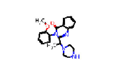 COc1ccccc1-n1c(C(C)N2CCNCC2)nc2ccccc2c1=O